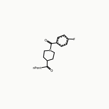 CCCCCC(=O)C1CCN(C(=O)c2ccc(F)cc2)CC1